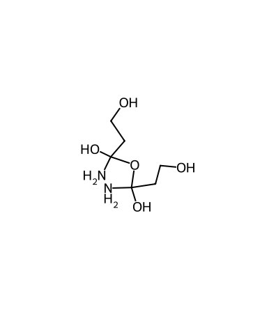 NC(O)(CCO)OC(N)(O)CCO